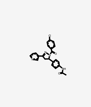 CC(=O)Nc1ccc(C2CC(c3cccnc3)=NN2C(=O)c2ccc(Cl)cc2)cc1